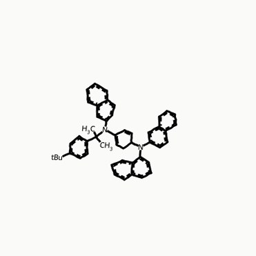 CC(C)(C)c1ccc(C(C)(C)N(C2=CCC(N(c3ccc4ccccc4c3)c3cccc4ccccc34)C=C2)c2ccc3ccccc3c2)cc1